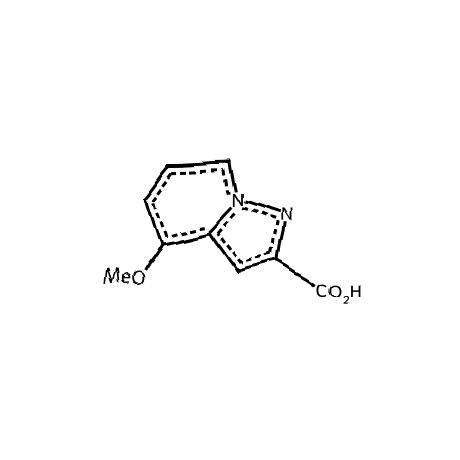 COc1cccn2nc(C(=O)O)cc12